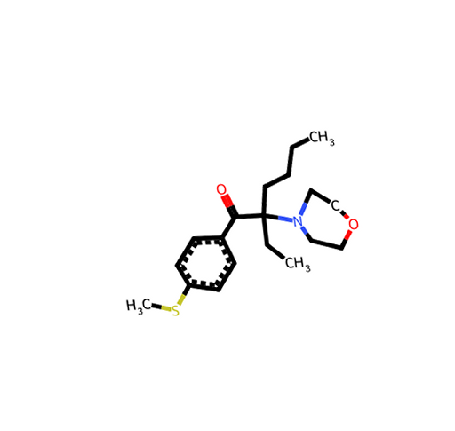 CCCCC(CC)(C(=O)c1ccc(SC)cc1)N1CCOCC1